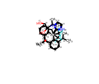 CC(C)c1cccc(C(C)C)[c]1[Au]([CH2]C(O)CO)([c]1c(C(C)C)cccc1C(C)C)(=[c]1[nH]cc[nH]1)([C](F)(F)F)[C](F)(F)F